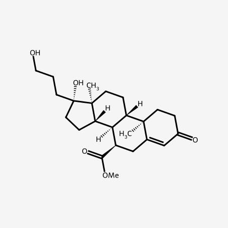 COC(=O)[C@@H]1CC2=CC(=O)CC[C@]2(C)[C@H]2CC[C@@]3(C)[C@@H](CC[C@@]3(O)CCCO)[C@H]12